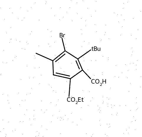 CCOC(=O)c1cc(C)c(Br)c(C(C)(C)C)c1C(=O)O